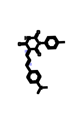 Cc1ccc(N2C(=O)NC(=O)/C(=C/C=C/c3ccc(N(C)C)cc3)C2=O)cc1